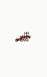 COc1cc2c(Oc3ccc(NC(=O)CC(=O)Nc4ccc(F)cc4)cc3F)ccnc2cc1OCCCN1CCOCC1